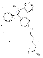 CCN(CC)CCCCOc1ccc(/C(=C(/Br)c2ccccc2)c2ccccc2)cc1